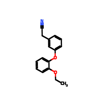 CCOc1ccccc1Oc1cccc(CC#N)c1